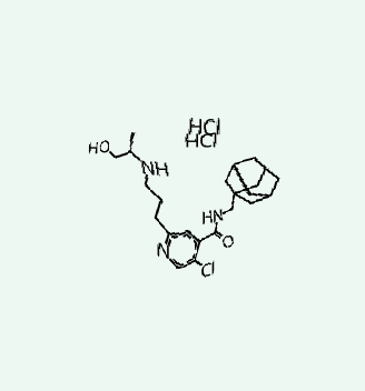 C[C@H](CO)NCCCc1cc(C(=O)NCC23CC4CC(CC(C4)C2)C3)c(Cl)cn1.Cl.Cl